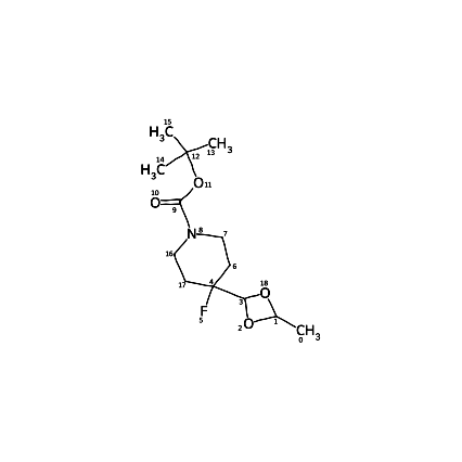 CC1OC(C2(F)CCN(C(=O)OC(C)(C)C)CC2)O1